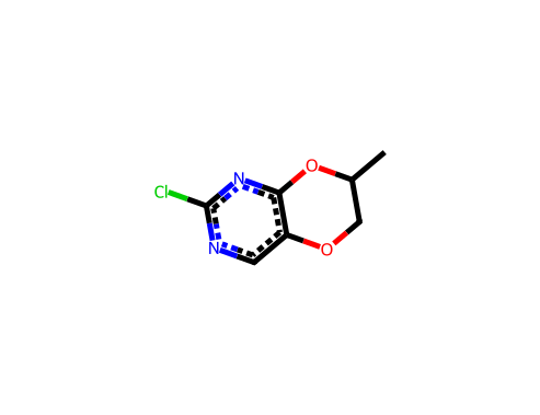 CC1COc2cnc(Cl)nc2O1